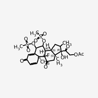 CC(=O)OCC(=O)[C@@]1(O)C(C)C[C@H]2[C@@H]3C(OS(C)(=O)=O)C(OS(C)(=O)=O)C4=CC(=O)C=C[C@]4(C)[C@@]3(F)C(=O)C[C@@]21C